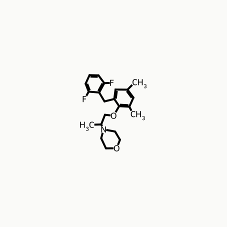 Cc1cc(C)c(OCC(C)N2CCOCC2)c(Cc2c(F)cccc2F)c1